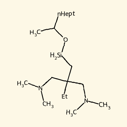 CCCCCCCC(C)O[SiH2]CC(CC)(CN(C)C)CN(C)C